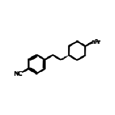 CCC[C@H]1CC[C@H](CCc2ccc(C#N)cc2)CC1